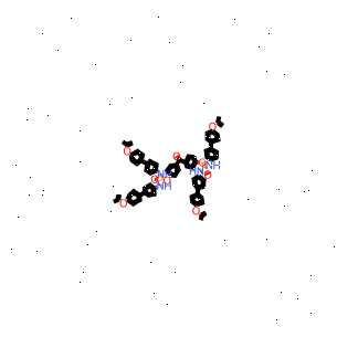 C=C(C)Oc1ccc(-c2ccc(NP(=O)(Nc3ccc(-c4ccc(OC(=C)C)cc4)cc3)Oc3ccc(C(=O)c4ccc(OP(=O)(Nc5ccc(-c6ccc(OC(=C)C)cc6)cc5)Nc5ccc(-c6ccc(OC(=C)C)cc6)cc5)cc4)cc3)cc2)cc1